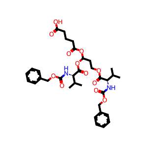 CC(C)[C@H](NC(=O)OCc1ccccc1)C(=O)OCCC(OC(=O)CCCC(=O)O)OC(=O)[C@@H](NC(=O)OCc1ccccc1)C(C)C